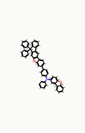 c1ccc(N(c2ccc(-c3ccc4c(c3)oc3cc5c(cc34)-c3ccccc3C5(c3ccccc3)c3ccccc3)cc2)c2ccc3oc4ccccc4c3c2)cc1